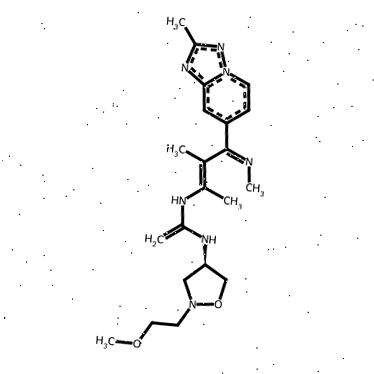 C=C(N/C(C)=C(C)/C(=N\C)c1ccn2nc(C)nc2c1)N[C@H]1CON(CCOC)C1